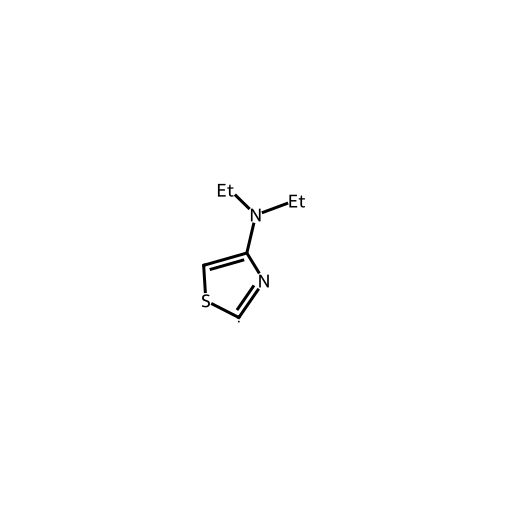 CCN(CC)c1cs[c]n1